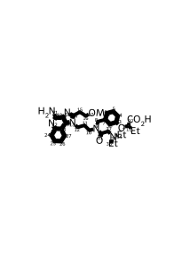 CCC(Oc1cccc(CN(CCCn2c(CCOC)nc3c(N)nc4ccccc4c32)C(=O)CN(CC)CC)c1)C(=O)O